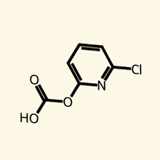 O=C(O)Oc1cccc(Cl)n1